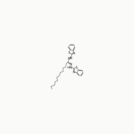 CCCCCCCCCCCCC(N=Nc1nc2ccccc2s1)=NNc1nc2ccccc2s1